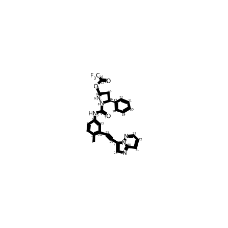 Cc1ccc(NC(=O)N2N=C(OC(=O)C(F)(F)F)C[C@H]2c2ccccc2)cc1C#Cc1cnc2cccnn12